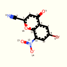 N#Cc1cc(=O)c2cc(Br)cc([N+](=O)[O-])c2o1